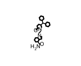 NC(=O)c1cccc2c1ccn2CCn1cc(C(c2ccccc2)c2ccccc2)ccc1=O